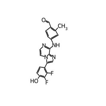 Cc1cc(Nc2nccn3c(-c4ccc(O)c(F)c4F)cnc23)ccc1C=O